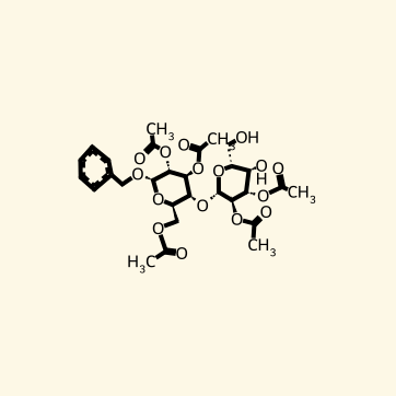 CC(=O)OC[C@H]1O[C@H](OCc2ccccc2)[C@H](OC(C)=O)[C@@H](OC(C)=O)[C@@H]1O[C@@H]1O[C@H](CO)[C@H](O)[C@H](OC(C)=O)[C@H]1OC(C)=O